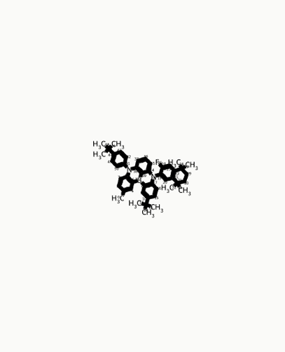 Cc1ccc2c(c1)B1c3cc(C(C)(C)C)ccc3N(c3cc4c(cc3F)C(C)(C)CCC4(C)C)c3cccc(c31)N2c1ccc(C(C)(C)C)cc1